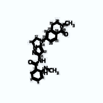 CNc1ccccc1C(=O)Nc1cc2n(n1)CCN2c1ccc2c(c1)CCN(C)C2=O